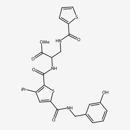 COC(=O)C(CNC(=O)c1cccs1)NC(=O)c1sc(C(=O)NCc2cccc(O)c2)cc1C(C)C